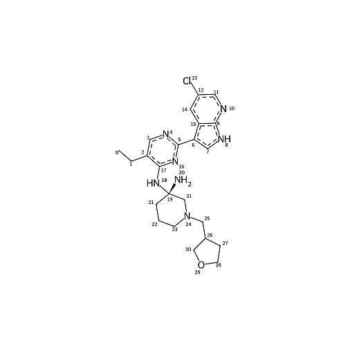 CCc1cnc(-c2c[nH]c3ncc(Cl)cc23)nc1N[C@@]1(N)CCCN(CC2CCOC2)C1